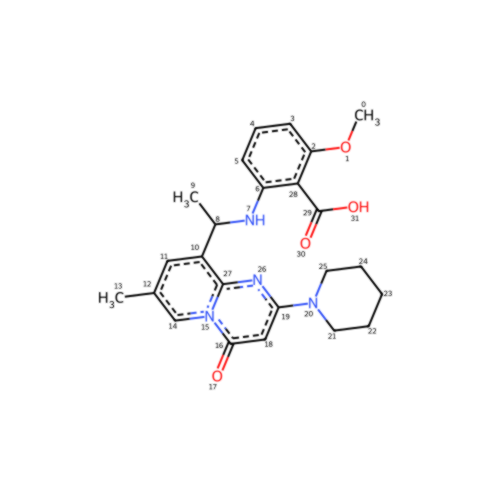 COc1cccc(NC(C)c2cc(C)cn3c(=O)cc(N4CCCCC4)nc23)c1C(=O)O